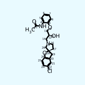 CC(=O)Nc1ccccc1OC[C@@H](O)CN1CC[C@]2(Cc3cc(Cl)ccc3O2)C1